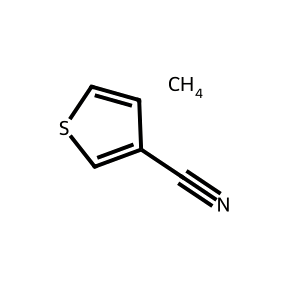 C.N#Cc1ccsc1